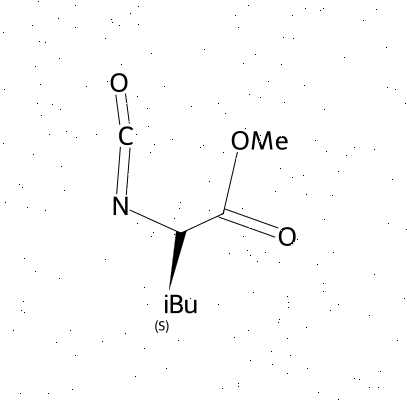 CC[C@H](C)C(N=C=O)C(=O)OC